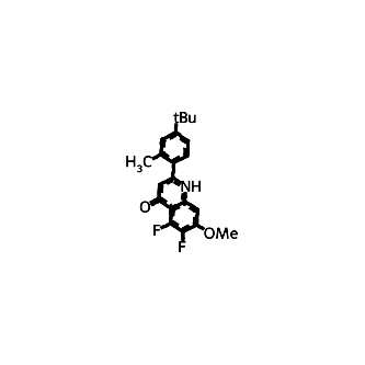 COc1cc2[nH]c(-c3ccc(C(C)(C)C)cc3C)cc(=O)c2c(F)c1F